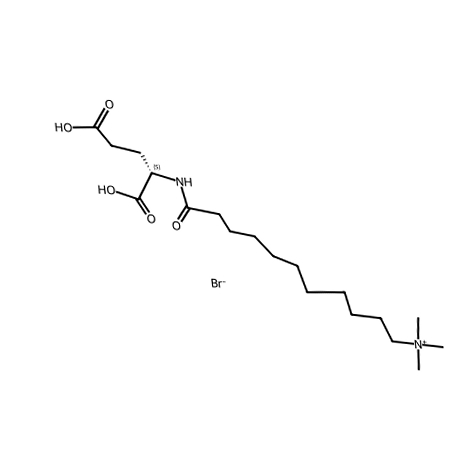 C[N+](C)(C)CCCCCCCCCCC(=O)N[C@@H](CCC(=O)O)C(=O)O.[Br-]